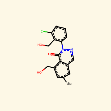 CC(C)(C)c1cc(CO)c2c(=O)n(-c3cccc(Cl)c3CO)ncc2c1